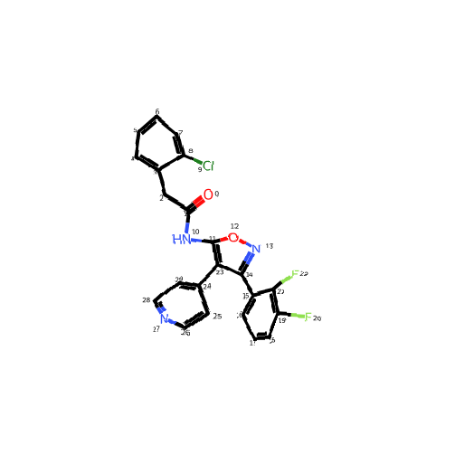 O=C(Cc1ccccc1Cl)Nc1onc(-c2cccc(F)c2F)c1-c1ccncc1